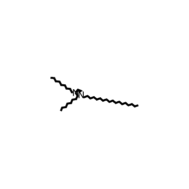 CCCCCCCCCCCCCCCCCCN1C=CN(CCCCCCCCC)C1CCCCCCC